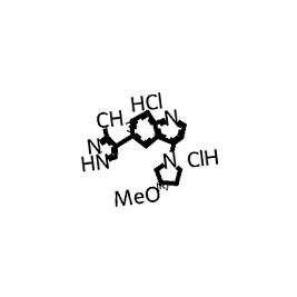 CO[C@@H]1CCN(c2ccnc3ccc(-c4c[nH]nc4C)cc23)C1.Cl.Cl